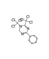 ClC(Cl)(Cl)C1=NC(c2ccccc2)=NCN1C(Cl)(Cl)Cl